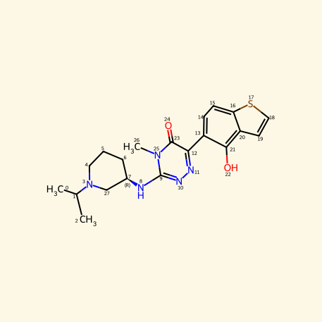 CC(C)N1CCC[C@@H](Nc2nnc(-c3ccc4sccc4c3O)c(=O)n2C)C1